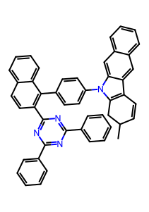 CC1C=Cc2c(n(-c3ccc(-c4c(-c5nc(-c6ccccc6)nc(-c6ccccc6)n5)ccc5ccccc45)cc3)c3cc4ccccc4cc23)C1